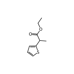 CCOC(=O)C(C)c1cccs1